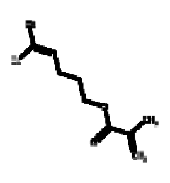 C=C(C)C(=O)OCCCC=C(CC)CC